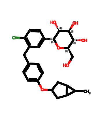 CC1C2CC(Oc3ccc(Cc4cc([C@H]5O[C@H](CO)[C@@H](O)[C@H](O)[C@H]5O)ccc4Cl)cc3)CC12